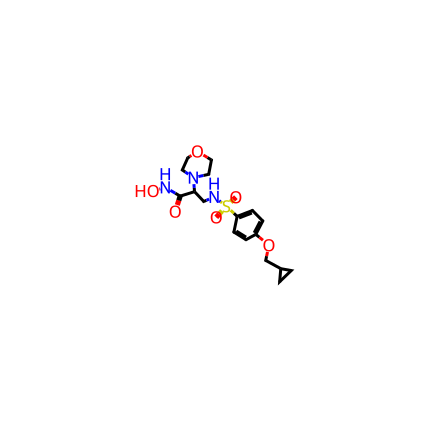 O=C(NO)C(CNS(=O)(=O)c1ccc(OCC2CC2)cc1)N1CCOCC1